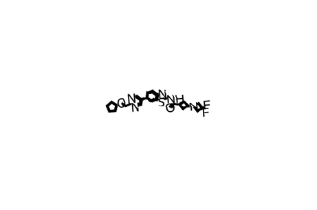 O=C(Nc1nc2ccc(-c3cnc(COC4CCCC4)nc3)cc2s1)C1CC(N2CC(F)(F)C2)C1